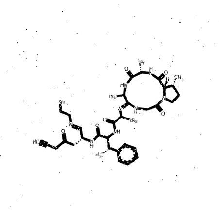 C#CCC(=O)C[C@H](/C=N/CCS)NC(=O)C(NC(=O)C(/N=C1\NCC(=O)N2CC[C@@H](C)[C@H]2C(=O)N[C@@H](C(C)C)C(=O)NC1C(C)(C)C)C(C)(C)C)[C@@H](C)c1ccccc1